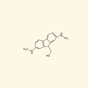 CNc1ccc2c(c1)C(CO)c1cc(NC)ccc1-2